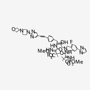 COC(=O)N[C@H](C(=O)N[C@@H](Cc1ccc(C#Cc2cnc(N3CCN(C4COC4)CC3)nc2)cc1)[C@@H](O)CN(Cc1c(F)cc(-c2ncccn2)cc1F)NC(=O)[C@@H](NC(=O)OC)C(C)(C)C(F)(F)F)C(C)(C)C(F)(F)F